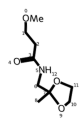 COCCC(=O)NCC1(C)OCCO1